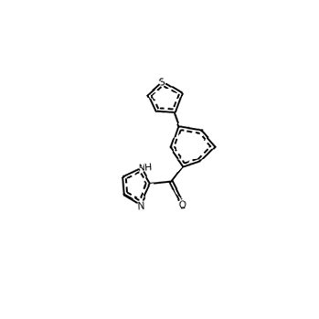 O=C(c1cccc(-c2ccsc2)c1)c1ncc[nH]1